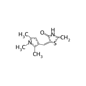 C=c1[nH]c(=O)/c(=C\c2cc(C)n(C)c2C)s1